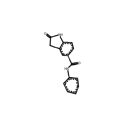 O=C1Cc2cc(C(=O)Nc3ccccc3)ccc2N1